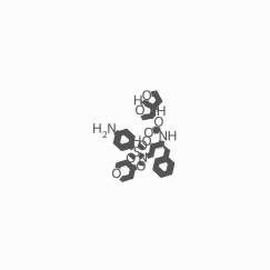 Nc1ccc(S(=O)(=O)N(C[C@@H](O)[C@H](Cc2ccccc2)NC(=O)OC2CO[C@H]3OCC[C@@H]23)OC2CCOCC2)cc1